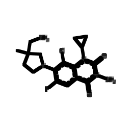 CC1(CN)CCN(c2c(F)cc3c(=O)n(N)c(=O)n(C4CC4)c3c2Cl)C1